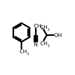 CC#N.CC(C)O.Cc1ccccc1